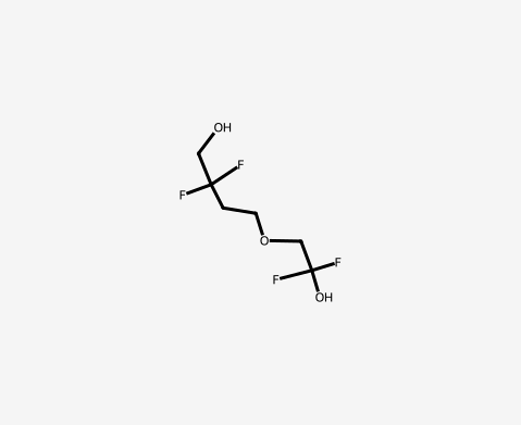 OCC(F)(F)CCOCC(O)(F)F